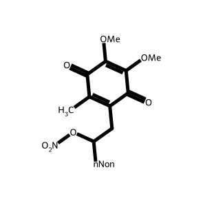 CCCCCCCCCC(CC1=C(C)C(=O)C(OC)=C(OC)C1=O)O[N+](=O)[O-]